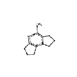 Cc1nc2c(c3c1CCC3)CCC2